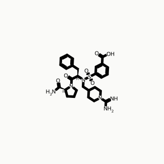 N=C(N)N1CCC(CN([C@H](Cc2ccccc2)C(=O)N2CCC[C@H]2C(N)=O)S(=O)(=O)c2cccc(C(=O)O)c2)CC1